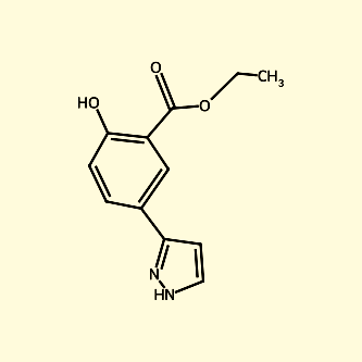 CCOC(=O)c1cc(-c2cc[nH]n2)ccc1O